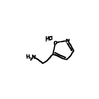 Cl.NCc1ccno1